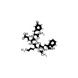 CCCC[C@H](NC(=O)[C@@H](Cc1c[nH]c2ccccc12)NC(C)=O)C(=O)N[C@@H](CCC(=O)O)C(=O)N[C@@H](Cc1cccc(Br)c1)C(N)=O